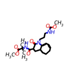 COC(=O)NCCCN1C(=O)C(C(=O)NC(C)(C)C(=O)OC)CC2CCCC=CC=C21